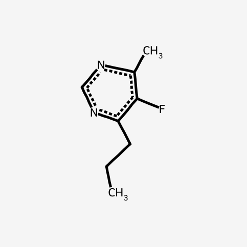 CCCc1ncnc(C)c1F